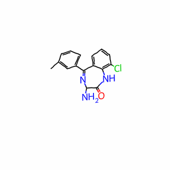 Cc1cccc(C2=NC(N)C(=O)Nc3c(Cl)cccc32)c1